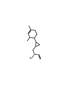 C=CN(CC1CC1C1CCC(C)=CC1C)C(C)=O